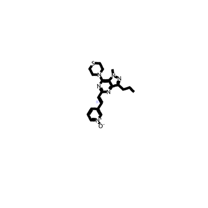 CCCc1nn(C)c2c(N3CCSCC3)nc(/C=C/c3ccc[n+]([O-])c3)nc12